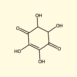 O=C1C(O)=C(O)C(=O)C(O)C1O